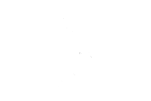 CCCOC[C@H](Cc1ccc(-c2ccc(C(F)(F)F)cc2)cc1)Nc1ccc(NCCC(=O)O)cc1